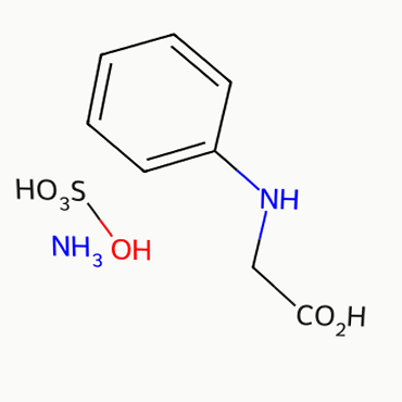 N.O=C(O)CNc1ccccc1.O=S(=O)(O)O